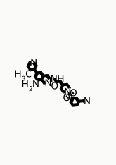 Cc1ccncc1-c1cc(N)c2cnc(NC(=O)C=C3CCN(S(=O)(=O)c4cccc(C#N)c4)CC3)cc2c1